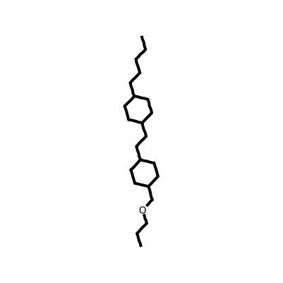 CCCCCC1CCC(CCC2CCC(COCCC)CC2)CC1